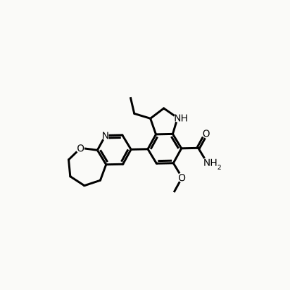 CCC1CNc2c(C(N)=O)c(OC)cc(-c3cnc4c(c3)CCCCO4)c21